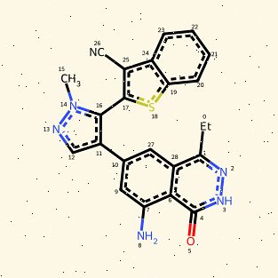 CCc1n[nH]c(=O)c2c(N)cc(-c3cnn(C)c3-c3sc4ccccc4c3C#N)cc12